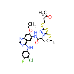 CCOc1cc2ncnc(Nc3ccc(F)c(Cl)c3)c2cc1NC(=O)C(CC)n1nc(SCCC(C)=O)sc1=S